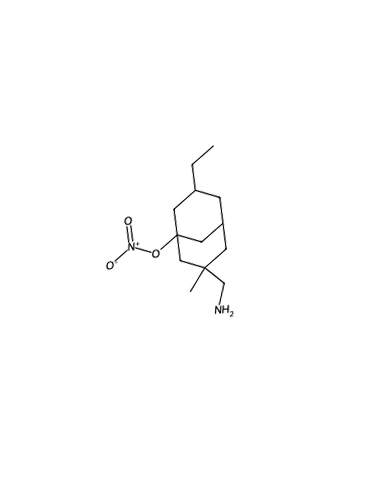 CCC1CC2CC(C)(CN)CC(O[N+](=O)[O-])(C1)C2